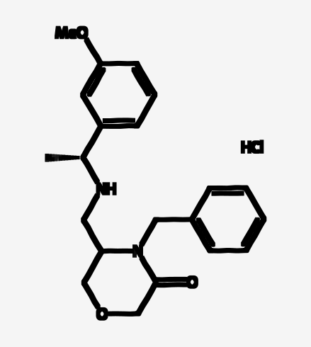 COc1cccc([C@@H](C)NCC2COCC(=O)N2Cc2ccccc2)c1.Cl